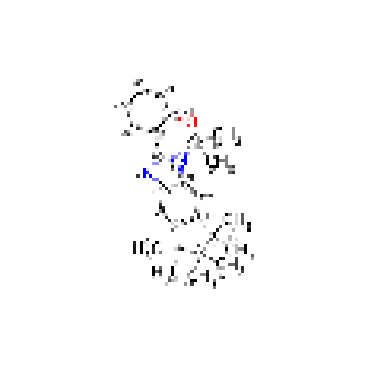 CC1(C)c2cc3nc4n(c3cc2C(C)(C)C1(C)C)[Si](C)(C)Oc1ccccc1-4